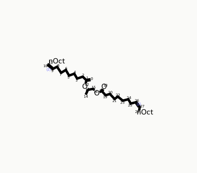 C=C(CCCCCCC/C=C\CCCCCCCC)OC(C)COC(=O)CCCCCCC/C=C\CCCCCCCC